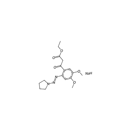 CCOC(=O)CC(=O)c1cc(OC)c(OC)cc1N=NN1CCCC1.[NaH]